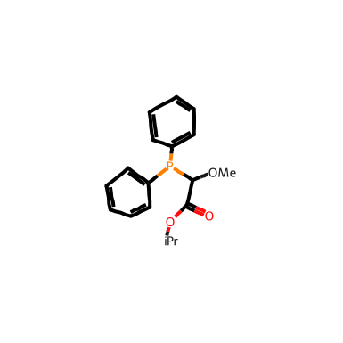 COC(C(=O)OC(C)C)P(c1ccccc1)c1ccccc1